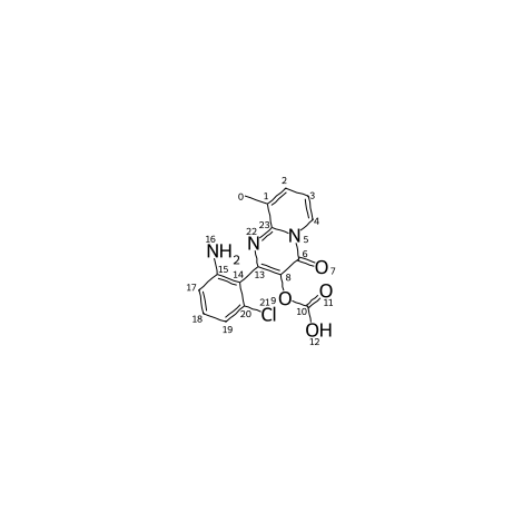 Cc1cccn2c(=O)c(OC(=O)O)c(-c3c(N)cccc3Cl)nc12